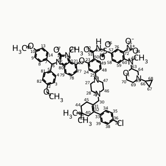 COc1ccc(C(c2ccc(OC)cc2)n2c(=O)n(C)c3c(Oc4cc(N5CCN(CC6=C(c7ccc(Cl)cc7)CC(C)(C)CC6)CC5)ccc4C(=O)NS(=O)(=O)c4ccc(N(C)C5CN(C6CC6)CCO5)c([N+](=O)[O-])c4)cccc32)cc1